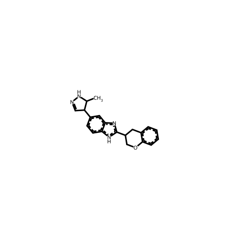 CC1NN=CC1c1ccc2[nH]c(C3COc4ccccc4C3)nc2c1